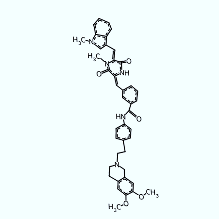 COc1cc2c(cc1OC)CN(CCc1ccc(NC(=O)c3cccc(C=c4[nH]c(=O)c(=Cc5cn(C)c6ccccc56)n(C)c4=O)c3)cc1)CC2